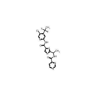 CC(NC(=O)c1ccncn1)c1ncc(C(=O)Nc2cc(C(C)(F)F)c(Cl)cn2)s1